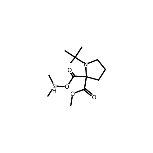 COC(=O)C1(C(=O)O[SiH](C)C)CCCN1C(C)(C)C